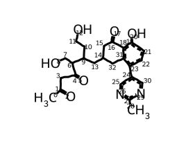 CC(=O)CC(=O)C(CO)C(CCO)CC1CC(=O)c2c(O)ccc(-c3cnc(C)nc3)c2C1